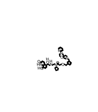 O=C(CCOCCc1cccc(CN2CCC3(CC2)CN(c2ccccn2)CCO3)c1)N(CCNCC(O)c1ccc(O)c2[nH]c(=O)ccc12)C1CCCC1